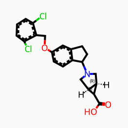 O=C(O)C1[C@H]2CN(C3CCc4cc(OCc5c(Cl)cccc5Cl)ccc43)C[C@@H]12